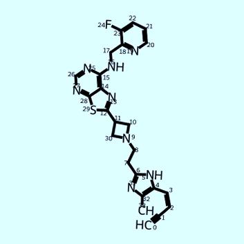 C#C/C=C\c1[nH]c(CCN2CC(c3nc4c(NCc5ncccc5F)ncnc4s3)C2)nc1C